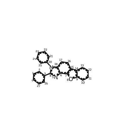 c1ccc(-c2nc3c4oc5ccccc5c4ccc3n2-c2ccccc2)cc1